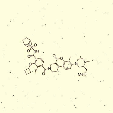 COC[C@H]1CN(c2ccc3c4c(c(=O)oc3c2C)CN(C(=O)c2ccc(C(=O)NS(=O)(=O)N3C5CCC3CC5)c(OC3CCC3)c2F)CC4)CCN1C